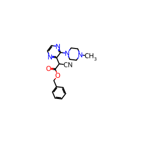 CN1CCN(c2nccnc2C(C#N)C(=O)OCc2ccccc2)CC1